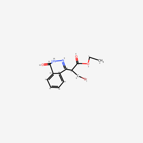 CCOC(=O)C(CBr)c1n[nH]c(=O)c2ccccc12